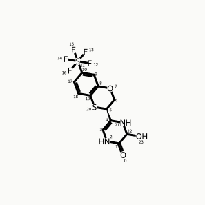 O=C1NC=C([C@@H]2COc3cc(S(F)(F)(F)(F)F)ccc3S2)NC1O